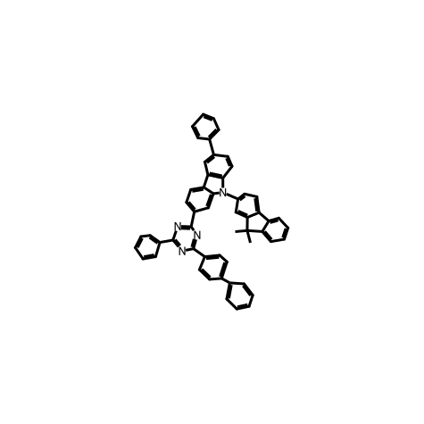 CC1(C)c2ccccc2-c2ccc(-n3c4ccc(-c5ccccc5)cc4c4ccc(-c5nc(-c6ccccc6)nc(-c6ccc(-c7ccccc7)cc6)n5)cc43)cc21